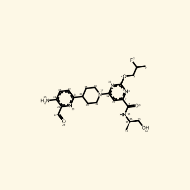 CC(F)COc1nc(C(=O)N[C@H](C)CO)cc(N2CCC(c3ccc(N)c(C=O)n3)CC2)n1